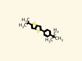 CC(C)c1cc2sc(-c3ccc(C(C)(C)C)cc3)cc2s1